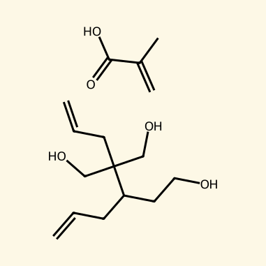 C=C(C)C(=O)O.C=CCC(CCO)C(CO)(CO)CC=C